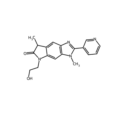 CC1C(=O)N(CCO)c2cc3c(cc21)nc(-c1cccnc1)n3C